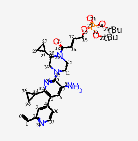 C=Cc1cc(-c2cc(N)c(N3CCN(C(=O)CCCOP(=O)(OC(C)(C)C)OC(C)(C)C)[C@H](C4CC4)C3)nc2C2CC2)ccn1